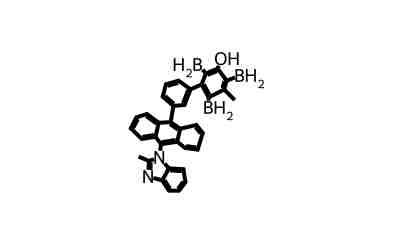 Bc1c(C)c(B)c(-c2cccc(-c3c4ccccc4c(-n4c(C)nc5ccccc54)c4ccccc34)c2)c(B)c1O